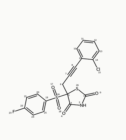 O=C1NC(=O)C(CC#Cc2ccccc2Cl)(S(=O)(=O)c2ccc(F)cc2)S1